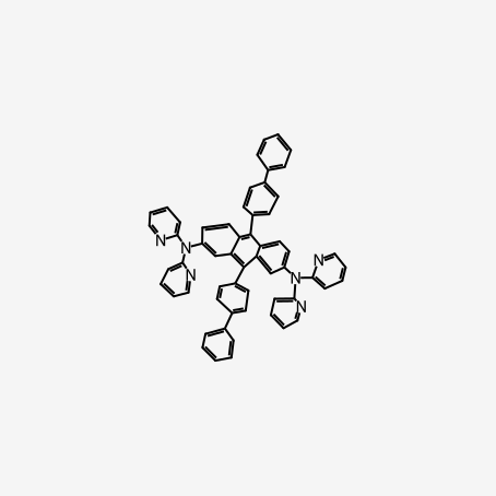 c1ccc(-c2ccc(-c3c4ccc(N(c5ccccn5)c5ccccn5)cc4c(-c4ccc(-c5ccccc5)cc4)c4cc(N(c5ccccn5)c5ccccn5)ccc34)cc2)cc1